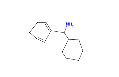 NC(C1=CCCC=C1)C1CCCCC1